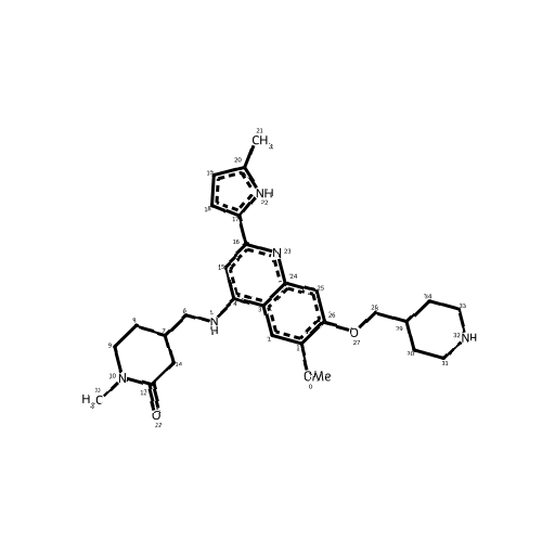 COc1cc2c(NCC3CCN(C)C(=O)C3)cc(-c3ccc(C)[nH]3)nc2cc1OCC1CCNCC1